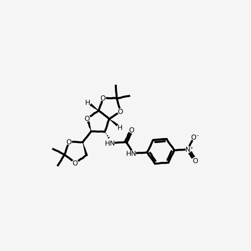 CC1(C)O[C@H]2O[C@H]([C@H]3COC(C)(C)O3)[C@@H](NC(=O)Nc3ccc([N+](=O)[O-])cc3)[C@H]2O1